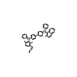 C=C/C=C\c1ccc(C)c(N(c2ccccc2)c2ccc(-c3ccc(N(c4ccccc4)c4c(C)ccc5ccccc45)cc3)cc2)c1C